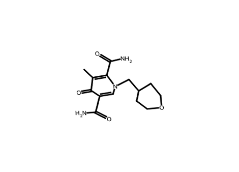 Cc1c(C(N)=O)n(CC2CCOCC2)cc(C(N)=O)c1=O